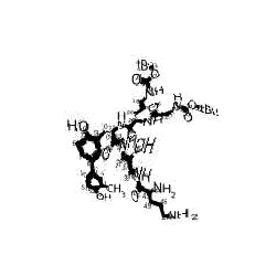 Cc1cc(-c2ccc(O)c(C[C@H](NC(=O)[C@H](CCCNC(=O)OC(C)(C)C)NC(=O)CNC(=O)OC(C)(C)C)C(=O)NCC(O)CNC(=O)[C@@H](N)CCCN)c2)ccc1O